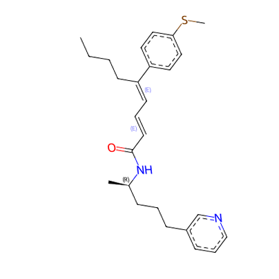 CCCC/C(=C\C=C\C(=O)N[C@H](C)CCCc1cccnc1)c1ccc(SC)cc1